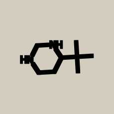 CC(C)(C)C1CCNCN1